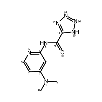 CN(C)c1ccnc(NC(=O)c2nnn[nH]2)c1